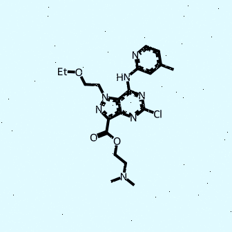 CCOCCn1nc(C(=O)OCCN(C)C)c2nc(Cl)nc(Nc3cc(C)ccn3)c21